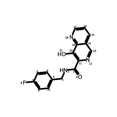 O=C(NCc1ccc(F)cc1)c1ncc2cccnc2c1O